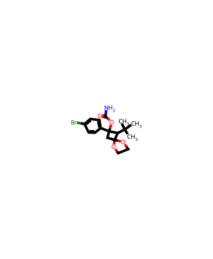 CC(C)(C)C1C2(CC1(OC(N)=O)c1ccc(Br)cc1)OCCO2